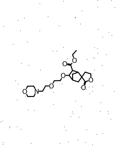 CCOC(=O)C1C(OCCOCCN2CCOCC2)C2CC1C1(CCOC1=O)C2